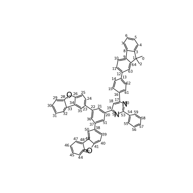 CC1(C)c2ccccc2-c2ccc(-c3ccc(-c4cc(-c5cc(-c6ccc7oc8ccccc8c7c6)cc(-c6ccc7oc8ccccc8c7c6)c5)nc(-c5ccccc5)n4)cc3)cc21